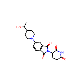 CC(O)C1CCN(c2ccc3c(c2)C(=O)N(C2CCC(=O)NC2=O)C3=O)CC1